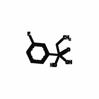 CCS(=O)(O)(O)c1cccc(F)c1